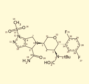 CC(C)(C)N(C(=O)O)[C@H]1C[C@@H](N2Cc3c(cnn3S(C)(=O)=O)C2C(N)=O)CO[C@@H]1c1cc(F)ccc1F